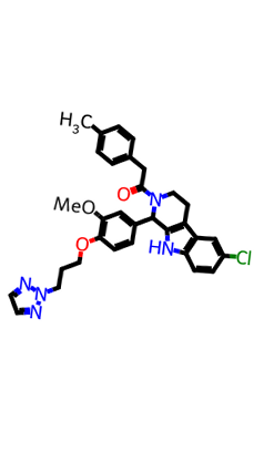 COc1cc(C2c3[nH]c4ccc(Cl)cc4c3CCN2C(=O)Cc2ccc(C)cc2)ccc1OCCCn1nccn1